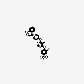 Cc1c(Oc2ccc(S(C)(=O)=O)cc2F)ncnc1OC1CCN(C(C=O)c2ccccc2Cl)CC1